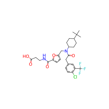 CC(C)(C)C1CCC(N(Cc2ccc(C(=O)NCCC(=O)O)o2)C(=O)Cc2ccc(Cl)c(C(F)(F)F)c2)CC1